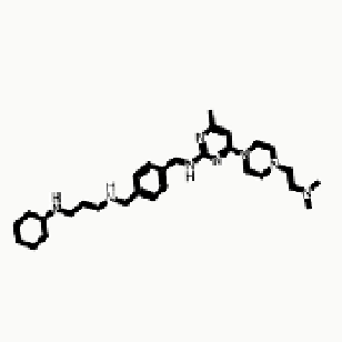 Cc1cc(N2CCN(CCN(C)C)CC2)nc(NCc2ccc(CNCCCNC3CCCCC3)cc2)n1